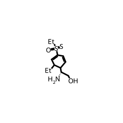 CCC1C=C(S(=O)(=S)CC)C=CC1[C@@H](N)CO